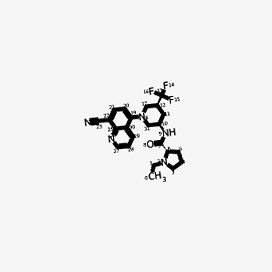 CCN1CCC[C@H]1C(=O)N[C@@H]1C[C@H](C(F)(F)F)CN(c2ccc(C#N)c3ncccc23)C1